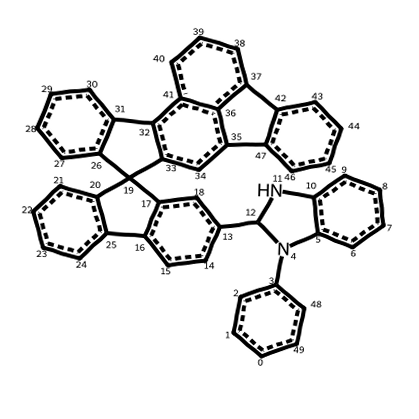 c1ccc(N2c3ccccc3NC2c2ccc3c(c2)C2(c4ccccc4-3)c3ccccc3-c3c2cc2c4c(cccc34)-c3ccccc3-2)cc1